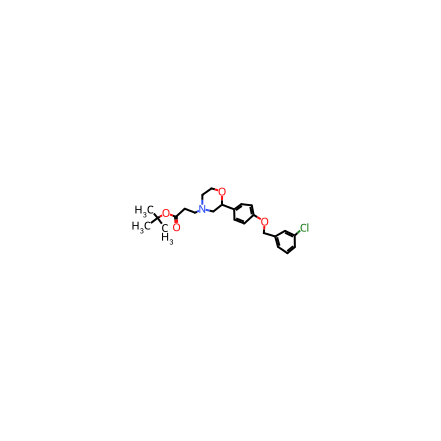 CC(C)(C)OC(=O)CCN1CCOC(c2ccc(OCc3cccc(Cl)c3)cc2)C1